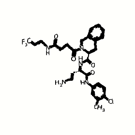 Cc1cc(NC(=O)[C@H](CCN)NC(=O)[C@@H]2Cc3ccccc3CN2C(=O)CCC(=O)NCCC(F)(F)F)ccc1Cl